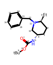 CC[C@H]1CC[C@H](NC(=O)OC(C)(C)C)CN1Cc1ccccc1